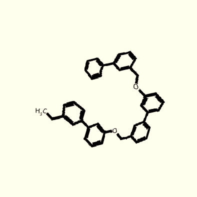 CCc1cccc(-c2cccc(OCc3cccc(-c4cccc(OCc5cccc(-c6ccccc6)c5)c4)c3)c2)c1